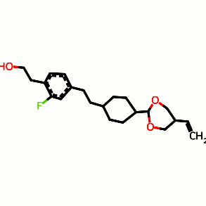 C=CC1COC(C2CCC(CCc3ccc(CCO)c(F)c3)CC2)OC1